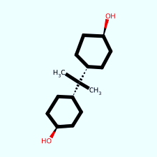 CC(C)([C@H]1CC[C@H](O)CC1)[C@H]1CC[C@H](O)CC1